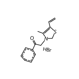 Br.C=CC1=C(C)N(CC(=O)c2ccccc2)CS1